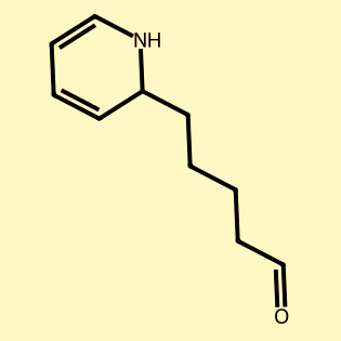 O=CCCCCC1C=CC=CN1